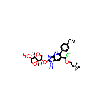 C[Si](C)(C)CCOC(Cl)c1cc2[nH]c(O[C@@H]3CO[C@H]4[C@@H]3OC[C@H]4O)nc2nc1-c1ccc(C#N)cc1